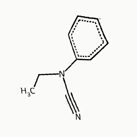 CCN(C#N)c1cc[c]cc1